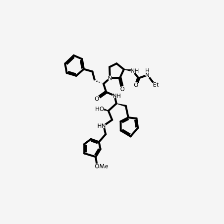 CCNC(=O)N[C@@H]1CCN([C@@H](CCc2ccccc2)C(=O)N[C@@H](Cc2ccccc2)[C@H](O)CNCc2cccc(OC)c2)C1=O